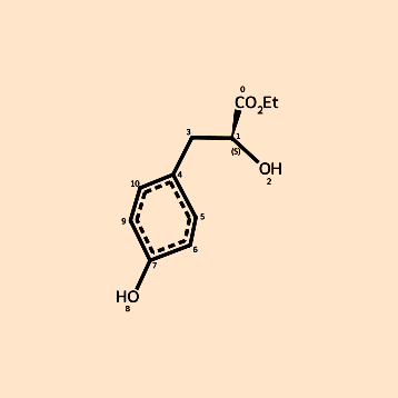 CCOC(=O)[C@@H](O)Cc1ccc(O)cc1